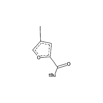 Cc1coc(C(=O)C(C)(C)C)c1